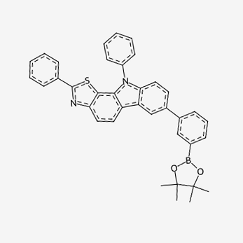 CC1(C)OB(c2cccc(-c3ccc4c(c3)c3ccc5nc(-c6ccccc6)sc5c3n4-c3ccccc3)c2)OC1(C)C